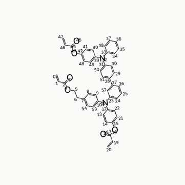 C=CC(=O)OCCc1ccc(N(c2ccc(OC(=O)C=C)cc2)c2cccc(-c3ccc(N(c4ccccc4)c4ccc(OC(=O)C=C)cc4)cc3)c2)cc1